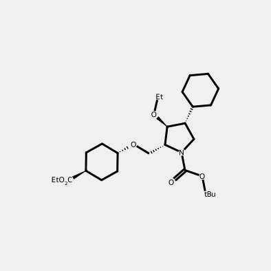 CCOC(=O)[C@H]1CC[C@H](OC[C@@H]2[C@@H](OCC)[C@H](C3CCCCC3)CN2C(=O)OC(C)(C)C)CC1